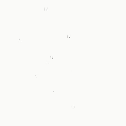 COC(=O)CC1(CC(=O)OC)c2ccccc2-c2nc(C#N)c(C#N)nc21